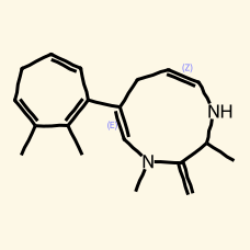 C=C1C(C)N/C=C\C/C(C2=C(C)C(C)=CCC=C2)=C\N1C